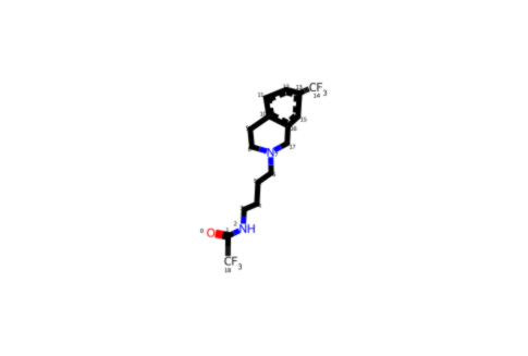 O=C(NCCCCN1CCc2ccc(C(F)(F)F)cc2C1)C(F)(F)F